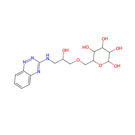 OC(CNc1nnc2ccccc2n1)COCC1OC(O)C(O)C(O)C1O